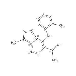 Cc1ccccc1Nc1c(C(N)=O)cnn2c(C)ccc12